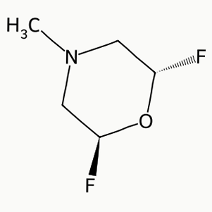 CN1C[C@H](F)O[C@@H](F)C1